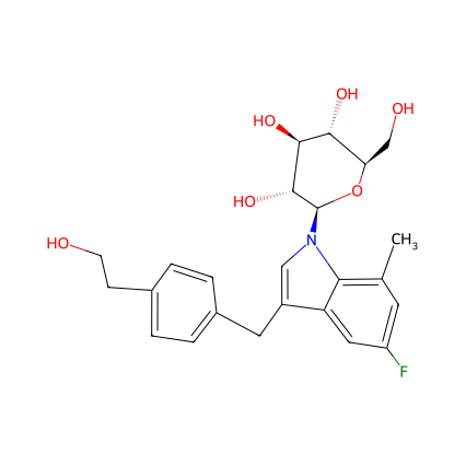 Cc1cc(F)cc2c(Cc3ccc(CCO)cc3)cn([C@@H]3O[C@H](CO)[C@@H](O)[C@H](O)[C@H]3O)c12